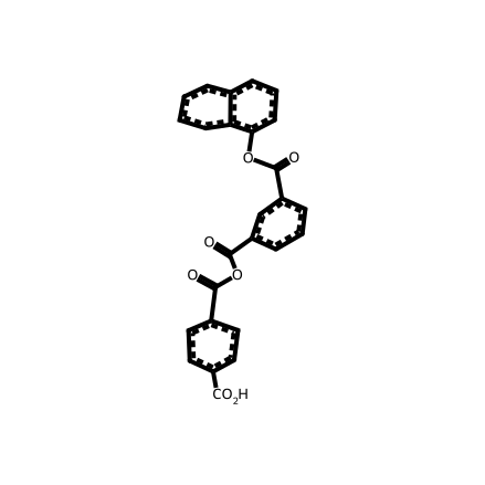 O=C(O)c1ccc(C(=O)OC(=O)c2cccc(C(=O)Oc3cccc4ccccc34)c2)cc1